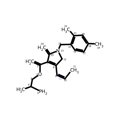 C=C(OCC(C)P)C1=C(/C=C\C)CN(Cc2ccc(C)cc2C)C1=C